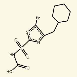 O=C(O)NS(=O)(=O)c1nc(CC2CCCCC2)c(Br)s1